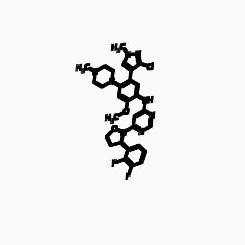 COc1cc(N2CCN(C)CC2)c(-c2cn(C)nc2Cl)cc1Nc1cc(N2OCCC2c2cccc(F)c2F)ncn1